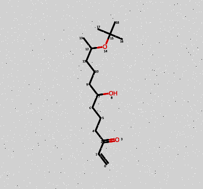 C=CC(=O)CCCC(O)CCCC(C)OC(C)(C)C